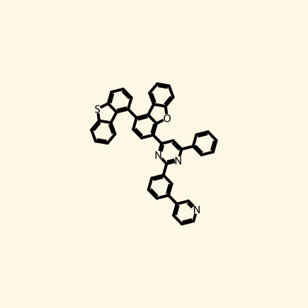 c1ccc(-c2cc(-c3ccc(-c4cccc5sc6ccccc6c45)c4c3oc3ccccc34)nc(-c3cccc(-c4cccnc4)c3)n2)cc1